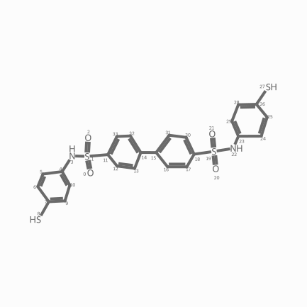 O=S(=O)(Nc1ccc(S)cc1)c1ccc(-c2ccc(S(=O)(=O)Nc3ccc(S)cc3)cc2)cc1